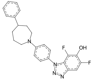 Oc1c(F)cc2nnn(-c3ccc(N4CCCC(c5ccccc5)CC4)cc3)c2c1F